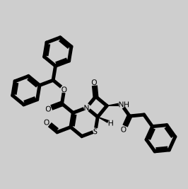 O=CC1=C(C(=O)OC(c2ccccc2)c2ccccc2)N2C(=O)[C@@H](NC(=O)Cc3ccccc3)[C@@H]2SC1